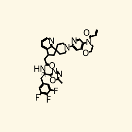 C=CC(=O)N1CCOc2cc(N3CCC4(CC3)CC(CC(=O)N[C@H](Cc3cc(F)c(F)c(F)c3)c3nnc(C)o3)c3cccnc34)ncc21